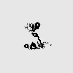 Cn1c(CCCc2ccc(OC(C)(Cc3ccccc3)C(=O)O)cc2)nn(Cc2cccc(Oc3ccccc3)c2)c1=O